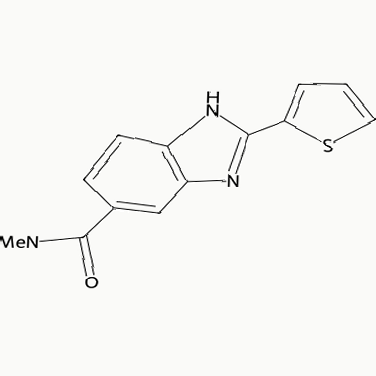 CNC(=O)c1ccc2[nH]c(-c3cccs3)nc2c1